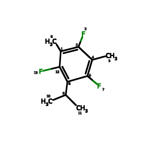 Cc1c(F)c(C)c(F)c(C(C)C)c1F